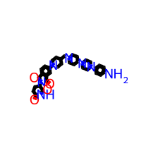 Nc1ccc(N2CCN(C3CCN(CC4CCN(c5ccc6c(c5)C(=O)N(C5CCC(=O)NC5=O)C6=O)CC4)CC3)CC2)cc1